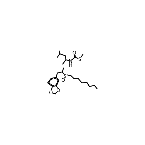 CCCCCCCC[S+]([O-])C(C)Cc1ccc2c(c1)OCO2.CSC(=O)NC(C)CC(C)C